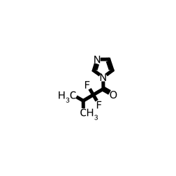 CC(C)C(F)(F)C(=O)n1ccnc1